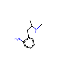 CNC(C)Cc1ccccc1N